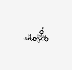 CC(C)(C)NSc1ccc(NC(=O)[C@H](Cc2ccccn2)NC(=O)c2ccc(F)cc2)cc1